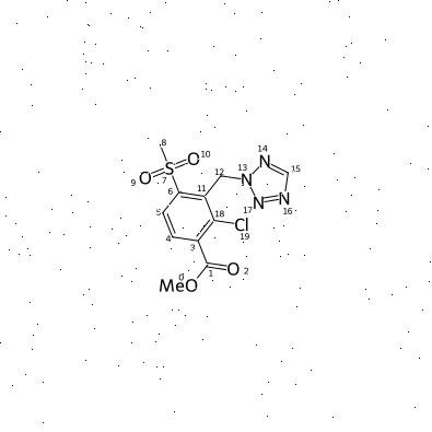 COC(=O)c1ccc(S(C)(=O)=O)c(Cn2ncnn2)c1Cl